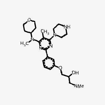 CNCC(O)COc1cccc(-c2nc(N3CCNCC3)c(C)c(N(C)C3CCOCC3)n2)c1